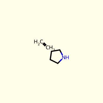 C1CCNC1.C=C